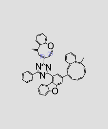 C=C1/C=C(c2nc(-c3ccccc3)nc(-c3cc(-c4cccccc(C)c5ccccc5c4)cc4oc5ccccc5c34)n2)\C=C/Oc2ccccc21